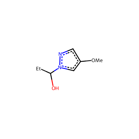 CCC(O)n1cc(OC)cn1